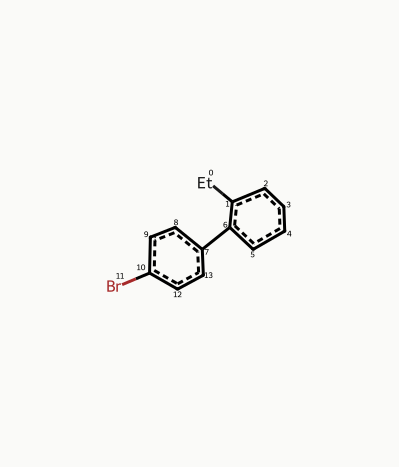 CCc1ccccc1-c1c[c]c(Br)cc1